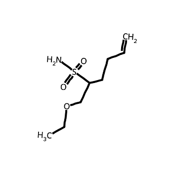 C=CCCC(COCC)S(N)(=O)=O